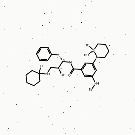 CCNc1cc(C(=O)N[C@@H](Cc2ccccc2)[C@@H](O)CNC2(CC)CCCCC2)cc(N2CCCCS2(O)O)c1